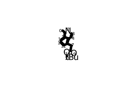 Cc1nccc2c(CC(=O)OC(C)(C)C)cccc12